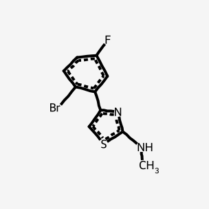 CNc1nc(-c2cc(F)ccc2Br)cs1